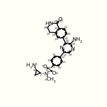 CN([C@@H]1C[C@H]1N)S(=O)(=O)c1ccc(-c2cnc(N)c(-c3ccc4c(c3)CCNC4=O)n2)cc1